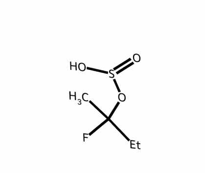 CCC(C)(F)OS(=O)O